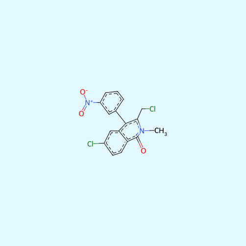 Cn1c(CCl)c(-c2cccc([N+](=O)[O-])c2)c2cc(Cl)ccc2c1=O